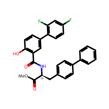 COC(=O)[C@H](Cc1ccc(-c2ccccc2)cc1)NC(=O)c1cc(-c2ccc(F)cc2F)ccc1O